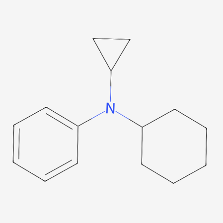 c1ccc(N(C2CCCCC2)C2CC2)cc1